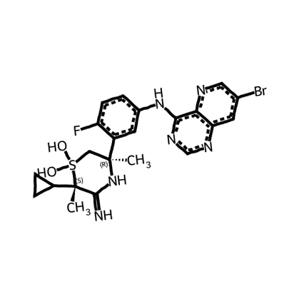 C[C@@]1(c2cc(Nc3ncnc4cc(Br)cnc34)ccc2F)CS(O)(O)[C@@](C)(C2CC2)C(=N)N1